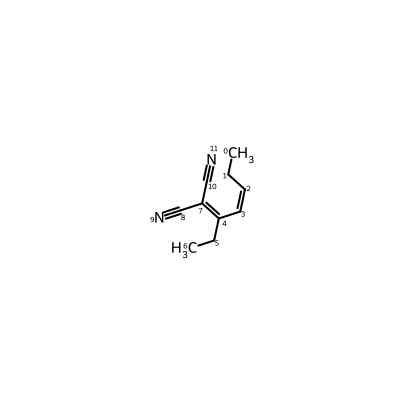 CC/C=C\C(CC)=C(C#N)C#N